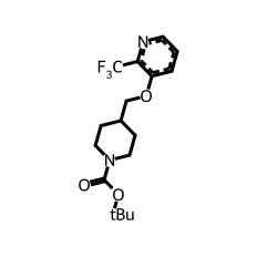 CC(C)(C)OC(=O)N1CCC(COc2cccnc2C(F)(F)F)CC1